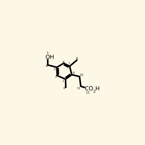 Cc1cc(CO)cc(C)c1CCC(=O)O